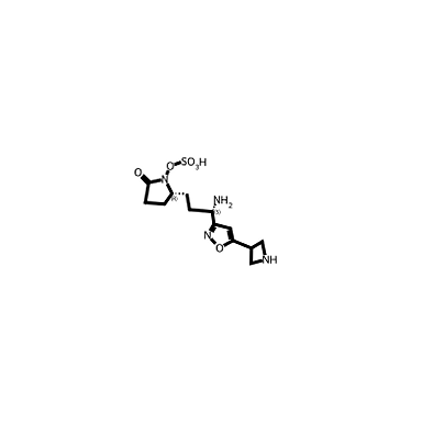 N[C@@H](CC[C@@H]1CCC(=O)N1OS(=O)(=O)O)c1cc(C2CNC2)on1